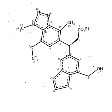 CCOC(=O)C[C@@H](c1cc(CO)c2sccc2c1)c1cc(OC(F)(F)F)c2c(nnn2C)c1C